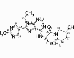 CC[C@@H](Nc1ncnc2c1nc(-c1cnc(C)nc1)n2CC)C(=O)N1CCC[C@@H](C)C1